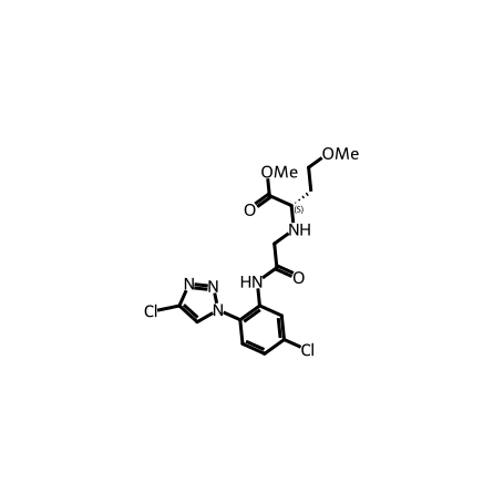 COCC[C@H](NCC(=O)Nc1cc(Cl)ccc1-n1cc(Cl)nn1)C(=O)OC